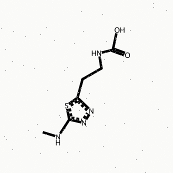 CNc1nnc(CCNC(=O)O)s1